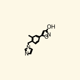 Cc1cc(-c2cc(O)no2)ccc1Cn1ccnc1